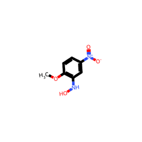 COc1ccc([N+](=O)[O-])cc1NO